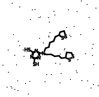 Sc1nc(S)nc(N(CCCCCC2CCSS2)CCCCCC2CCSS2)n1